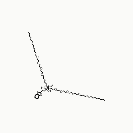 CCCCCCCCCCCCCOCCOCCOCCOCCOCCO[Si](OCC)(OCCOCCOCCOCCOCCOCCCCCCCCCCCCC)C(S)(S)CCc1nc2ccccc2s1